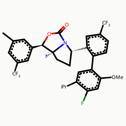 COc1cc(F)c(C(C)C)cc1-c1ccc(C(F)(F)F)cc1[C@@H]1CC[C@@]2(I)[C@@H](c3cc(C)cc(C(F)(F)F)c3)OC(=O)N12